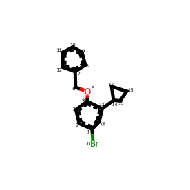 Brc1ccc(OCc2ccccc2)c(C2CCC2)c1